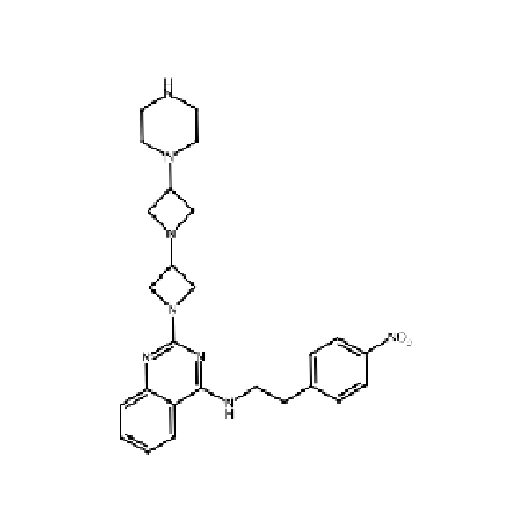 O=[N+]([O-])c1ccc(CCNc2nc(N3CC(N4CC(N5CCNCC5)C4)C3)nc3ccccc23)cc1